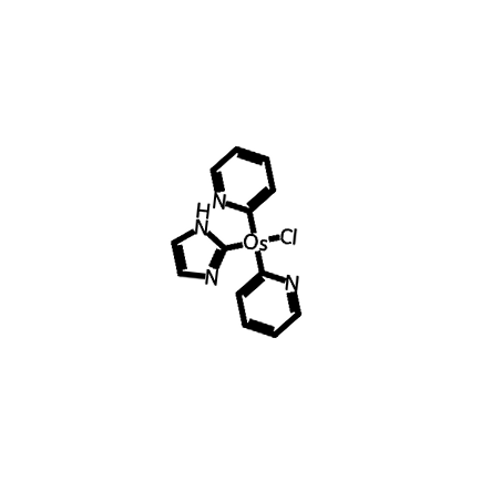 [Cl][Os]([c]1ccccn1)([c]1ccccn1)[c]1ncc[nH]1